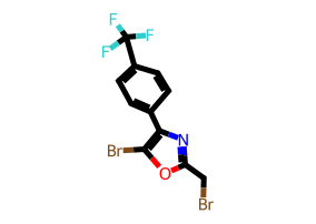 FC(F)(F)c1ccc(-c2nc(CBr)oc2Br)cc1